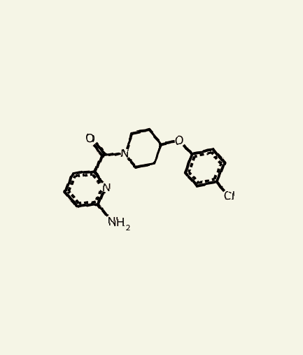 Nc1cccc(C(=O)N2CCC(Oc3ccc(Cl)cc3)CC2)n1